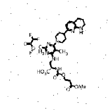 COC(=O)CCOC(=O)N[C@@H](CNc1nc(C)nc(N2CCC(c3ccc4c(n3)NCCC4)CC2)c1C)C(=O)O.O=C(OF)C(F)F